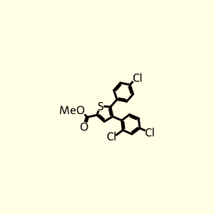 COC(=O)c1cc(-c2ccc(Cl)cc2Cl)c(-c2ccc(Cl)cc2)s1